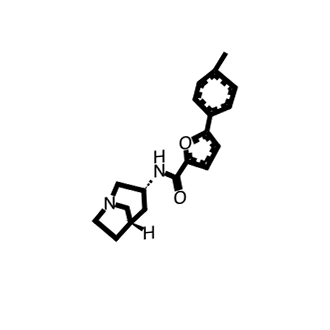 Cc1ccc(-c2ccc(C(=O)N[C@@H]3C[C@@H]4CCN(C4)C3)o2)cc1